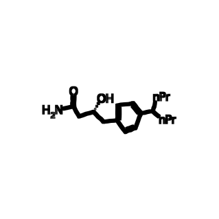 CCCC(CCC)c1ccc(C[C@@H](O)CC(N)=O)cc1